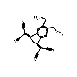 CCc1cc2c(cc1CC)C(=C(C#N)C#N)CC2=C(C#N)C#N